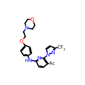 CC(=O)c1ccc(Nc2ccc(OCCN3CCOCC3)cc2)nc1-n1ccc(C(F)(F)F)n1